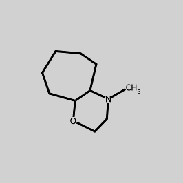 CN1CCOC2CCCCCC21